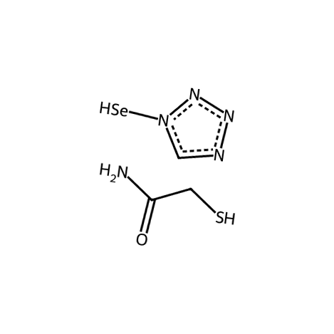 NC(=O)CS.[SeH]n1cnnn1